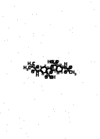 CC(C)S(=O)(=O)Nc1ccc(C=Cc2ccc(NS(C)(=O)=O)cc2S(=O)(=O)O)c(S(=O)(=O)O)c1